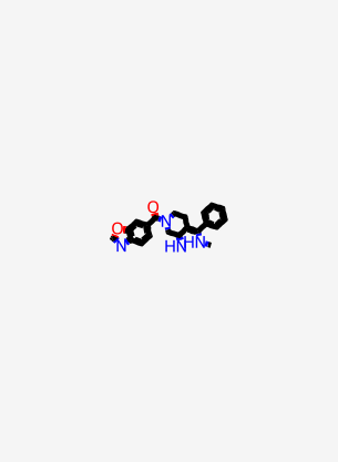 CN/C(=C1/CCN(C(=O)c2ccc3ncoc3c2)CC1=N)c1ccccc1